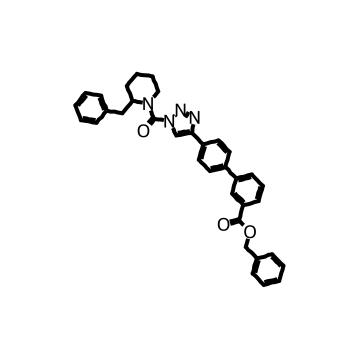 O=C(OCc1ccccc1)c1cccc(-c2ccc(-c3cn(C(=O)N4CCCCC4Cc4ccccc4)nn3)cc2)c1